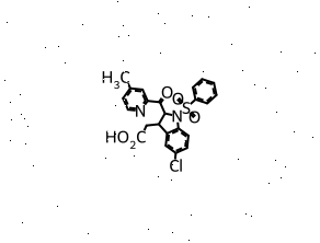 Cc1ccnc(C(=O)C2C(CC(=O)O)c3cc(Cl)ccc3N2S(=O)(=O)c2ccccc2)c1